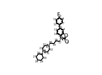 O=c1oc2cc(-c3ccc(F)cc3)ccc2n1CCCCN1CCN(C2CCCCC2)CC1